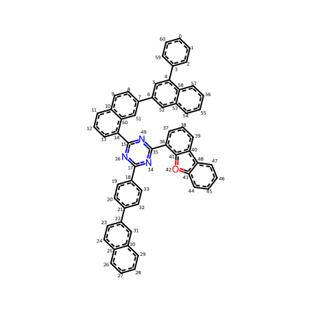 c1ccc(-c2cc(-c3ccc4cccc(-c5nc(-c6ccc(-c7ccc8ccccc8c7)cc6)nc(-c6cccc7c6oc6ccccc67)n5)c4c3)cc3ccccc23)cc1